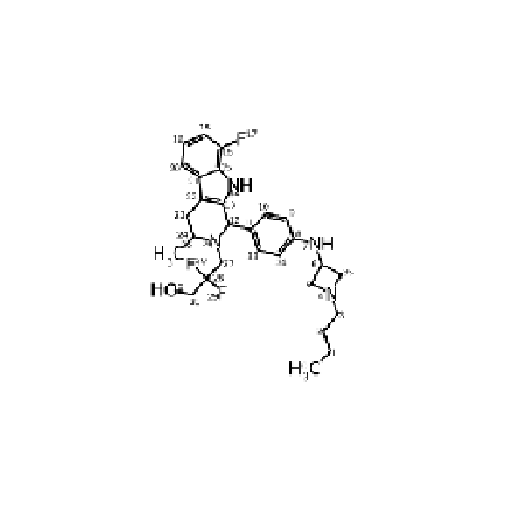 CCCCN1CC(Nc2ccc(C3c4[nH]c5c(F)cccc5c4CC(C)N3CC(F)(F)CO)cc2)C1